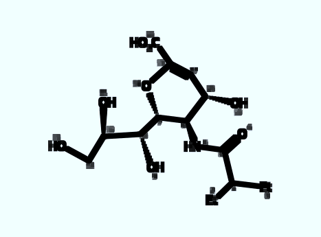 CCC(CC)C(=O)N[C@H]1[C@H]([C@H](O)[C@H](O)CO)OC(C(=O)O)=C[C@@H]1O